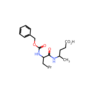 CC(C)CC(NC(=O)OCc1ccccc1)C(=O)NC(C)CCC(=O)O